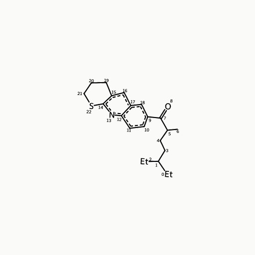 CCC(CC)CCC(C)C(=O)c1ccc2nc3c(cc2c1)CCCS3